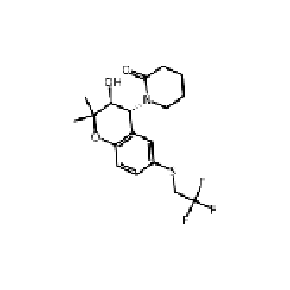 CC1(C)Oc2ccc(SCC(F)(F)F)cc2[C@@H](N2CCCCC2=O)[C@@H]1O